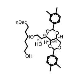 CCCCCCCCCCCCCCCCO.Cc1ccc(C2OC[C@@H]3OC(c4ccc(C)c(C)c4)O[C@H]([C@H](O)CO)[C@@H]3O2)cc1C